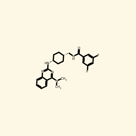 CN(C)c1nc(N[C@H]2CC[C@@H](CNC(=O)c3cc(F)cc(F)c3)CC2)nc2ccccc12